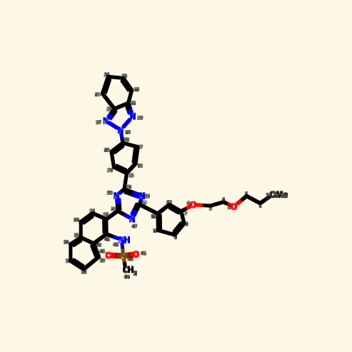 COCCOCCOc1cccc(-c2nc(-c3ccc(-n4nc5ccccc5n4)cc3)nc(-c3ccc4ccccc4c3NS(C)(=O)=O)n2)c1